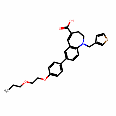 CCCOCCOc1ccc(-c2ccc3c(c2)C=C(C(=O)O)CCN3Cc2ccsc2)cc1